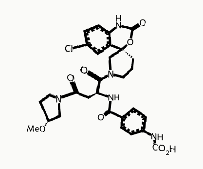 CO[C@@H]1CCN(C(=O)C[C@H](NC(=O)c2ccc(NC(=O)O)cc2)C(=O)N2CCC[C@@]3(C2)OC(=O)Nc2ccc(Cl)cc23)C1